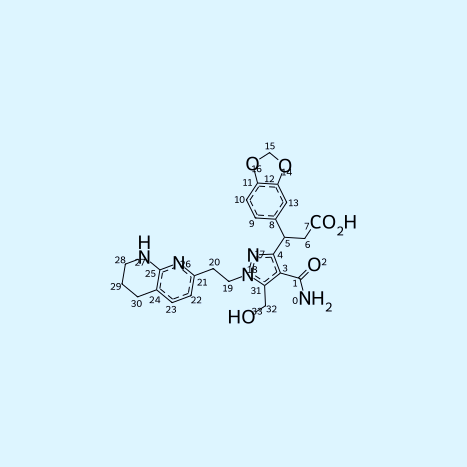 NC(=O)c1c(C(CC(=O)O)c2ccc3c(c2)OCO3)nn(CCc2ccc3c(n2)NCCC3)c1CO